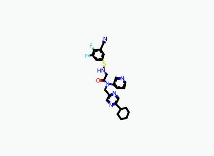 N#Cc1cc(SNCC(=O)N(Cc2cnc(C3CCCCC3)cn2)c2cccnc2)cc(F)c1F